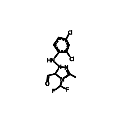 CC1=NN(Nc2ccc(Cl)cc2Cl)C(C=O)N1C(F)F